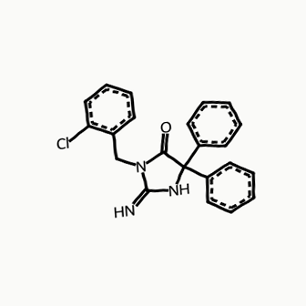 N=C1NC(c2ccccc2)(c2ccccc2)C(=O)N1Cc1ccccc1Cl